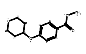 O=C(OP)c1ccc(OC2CCOCC2)cc1